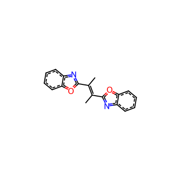 C/C(=C(/C)c1nc2ccccc2o1)c1nc2ccccc2o1